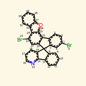 Brc1ccc2c(c1)C1(c3ccccc3-c3ncccc31)c1cc(Br)c3c(oc4ccccc43)c1-2